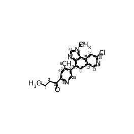 CCCC(=O)c1cc(C)c(-c2cc3cnc(Cl)cc3c3c2ncn3C)cn1